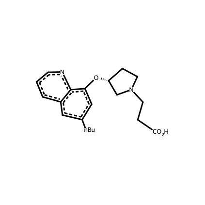 CCCCc1cc(O[C@@H]2CCN(CCC(=O)O)C2)c2ncccc2c1